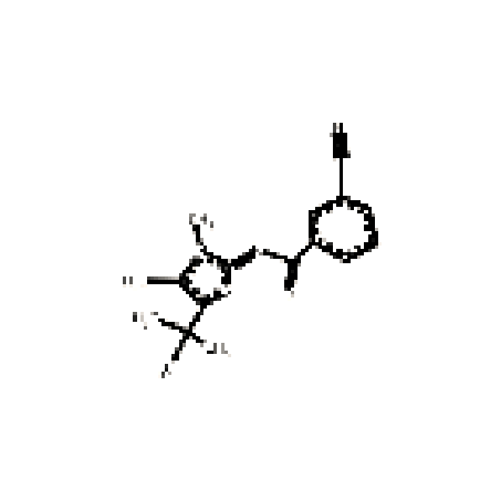 Cc1c(C(C)(C)C)s/c(=N\C(=O)c2cccc(C#N)c2)n1C